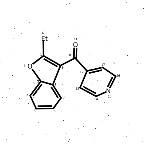 CCc1oc2ccccc2c1C(=O)c1ccncc1